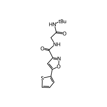 CC(C)(C)NC(=O)CNC(=O)c1cc(-c2cccs2)on1